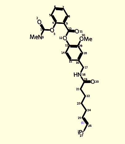 CNC(=O)Oc1ccccc1C(=O)Oc1ccc(CNC(=O)CCCC/C=C/C(C)C)cc1OC